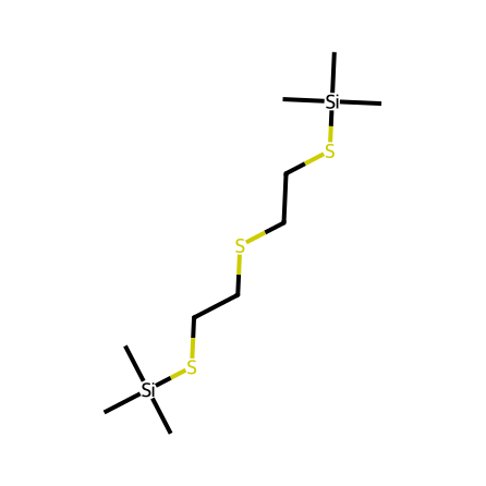 C[Si](C)(C)SCCSCCS[Si](C)(C)C